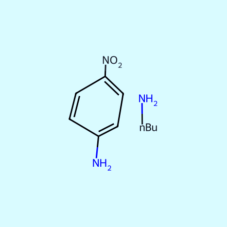 CCCCN.Nc1ccc([N+](=O)[O-])cc1